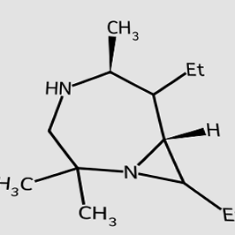 CCC1[C@@H]2C(CC)N2C(C)(C)CN[C@H]1C